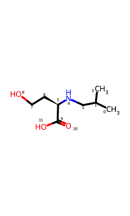 CC(C)CN[C@H](CCO)C(=O)O